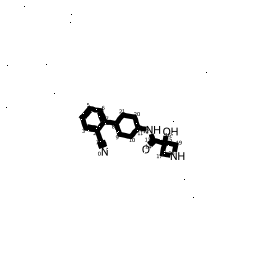 N#Cc1ccccc1C1CCC(NC(=O)C2(O)CNC2)CC1